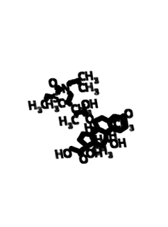 CCC(=O)O.CCSC(=O)N(CC(C)C)CC(C)C.C[C@]12CCC(=O)C=C1CC[C@@H]1[C@@H]2[C@@H](O)C[C@@]2(C)[C@H]1CC[C@]2(O)C(=O)CO